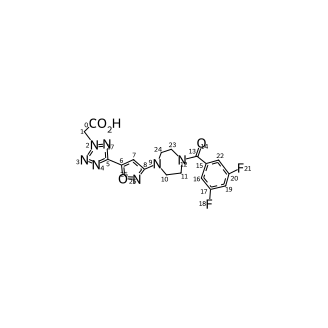 O=C(O)Cn1nnc(-c2cc(N3CCN(C(=O)c4cc(F)cc(F)c4)CC3)no2)n1